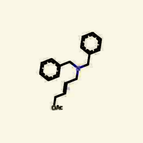 CC(=O)OC/C=C/CN(Cc1ccccc1)Cc1ccccc1